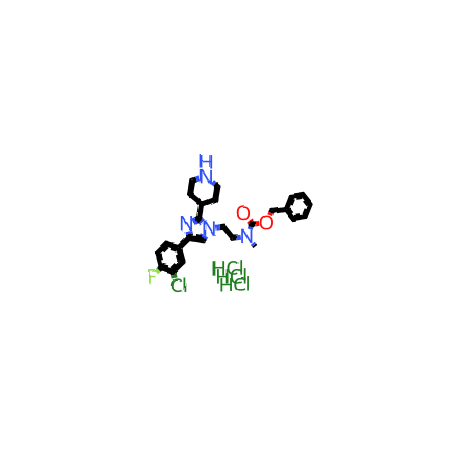 CN(CCn1cc(-c2ccc(F)c(Cl)c2)nc1C1CCNCC1)C(=O)OCc1ccccc1.Cl.Cl.Cl